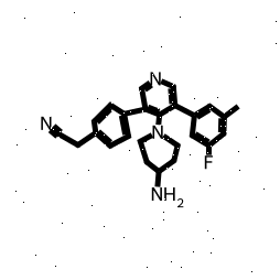 Cc1cc(F)cc(-c2cncc(-c3ccc(CC#N)cc3)c2N2CCC(N)CC2)c1